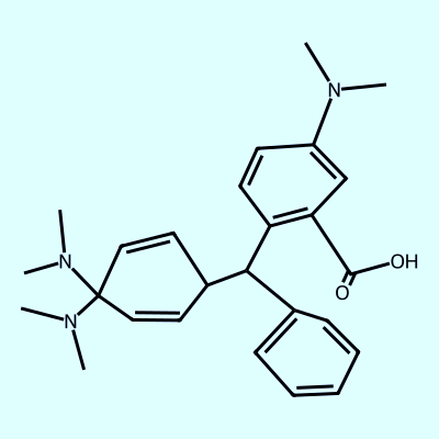 CN(C)c1ccc(C(c2ccccc2)C2C=CC(N(C)C)(N(C)C)C=C2)c(C(=O)O)c1